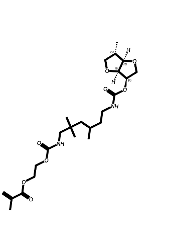 C=C(C)C(=O)OCCOC(=O)NCC(C)(C)CC(C)CCNC(=O)O[C@@H]1CO[C@H]2[C@@H]1OC[C@@H]2C